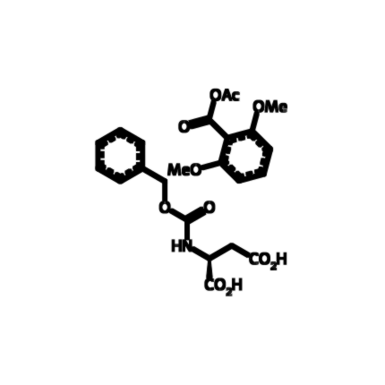 COc1cccc(OC)c1C(=O)OC(C)=O.O=C(O)C[C@H](NC(=O)OCc1ccccc1)C(=O)O